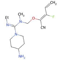 C=C/C(F)=C(/C#N)OCN(C)/C(=N\CC)N1CCC(N)CC1